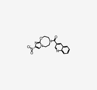 O=C(c1cnc2ccccc2c1)N1CCOc2nc([N+](=O)[O-])cn2CC1